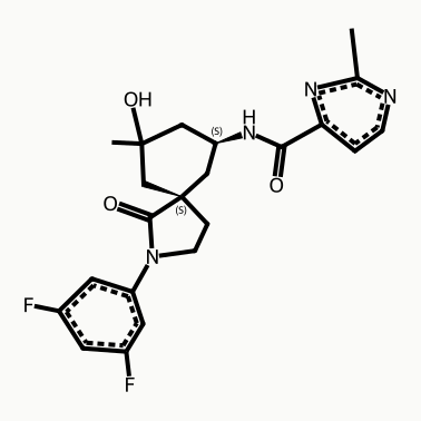 Cc1nccc(C(=O)N[C@@H]2CC(C)(O)C[C@]3(CCN(c4cc(F)cc(F)c4)C3=O)C2)n1